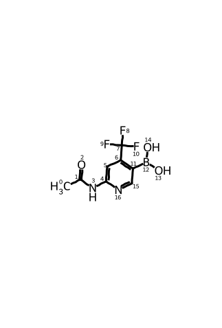 CC(=O)Nc1cc(C(F)(F)F)c(B(O)O)cn1